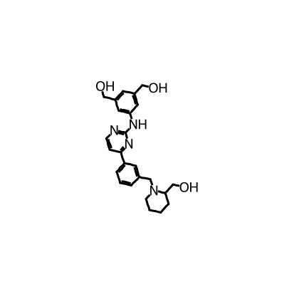 OCc1cc(CO)cc(Nc2nccc(-c3cccc(CN4CCCCC4CO)c3)n2)c1